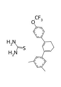 Cc1cc(C)cc(C2=CCCC(c3ccc(OC(F)(F)F)cc3)=C2)c1.NC(N)=S